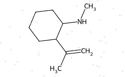 C=C(C)C1CCCCC1NC